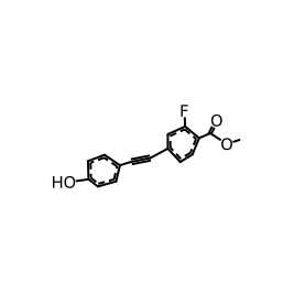 COC(=O)c1ccc(C#Cc2ccc(O)cc2)cc1F